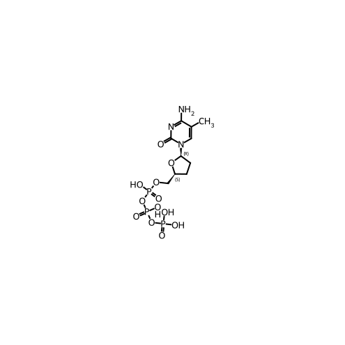 Cc1cn([C@H]2CC[C@@H](COP(=O)(O)OP(=O)(O)OP(=O)(O)O)O2)c(=O)nc1N